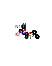 Cc1c(COc2cc(OCc3cncc(C#N)c3)c(CN3CCCC[C@H]3CO)c3c2CCC3)cccc1-c1ccccc1